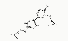 C=C(/C=C\C(=C/C)OCC1CO1)c1ccc(OCC2CO2)cc1